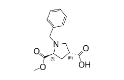 COC(=O)[C@@H]1C[C@@H](C(=O)O)CN1Cc1ccccc1